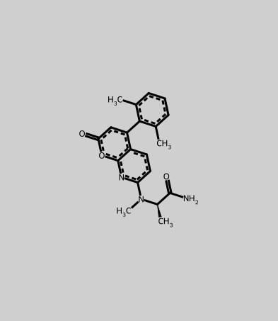 Cc1cccc(C)c1-c1cc(=O)oc2nc(N(C)[C@H](C)C(N)=O)ccc12